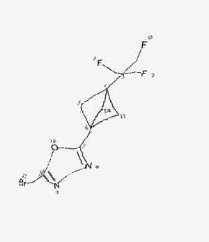 FC(F)(F)C12CC(c3nnc(Br)o3)(C1)C2